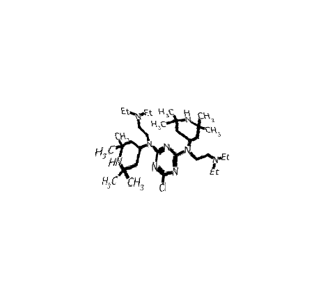 CCN(CC)CCN(c1nc(Cl)nc(N(CCN(CC)CC)C2CC(C)(C)NC(C)(C)C2)n1)C1CC(C)(C)NC(C)(C)C1